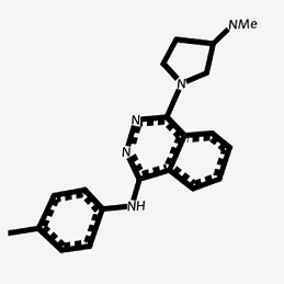 CNC1CCN(c2nnc(Nc3ccc(C)cc3)c3ccccc23)C1